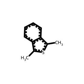 Cc1sc(C)c2ccccc12